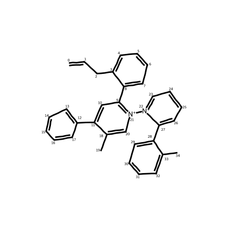 C=CCc1ccccc1-c1cc(-c2ccccc2)c(C)c[n+]1-[n+]1ccccc1-c1ccccc1C